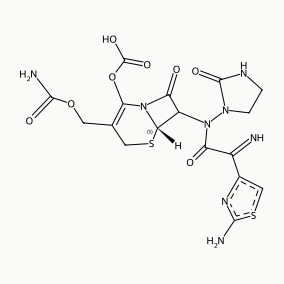 N=C(C(=O)N(C1C(=O)N2C(OC(=O)O)=C(COC(N)=O)CS[C@@H]12)N1CCNC1=O)c1csc(N)n1